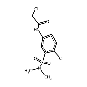 CN(C)S(=O)(=O)c1cc(NC(=O)CCl)ccc1Cl